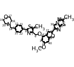 COc1cc(OCc2nc(-c3ccc(CN4CCOCC4)cc3)sc2C)c2cc(-c3cn4nc(C)sc4n3)oc2c1